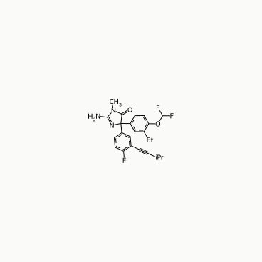 CCc1cc(C2(c3ccc(F)c(C#CC(C)C)c3)N=C(N)N(C)C2=O)ccc1OC(F)F